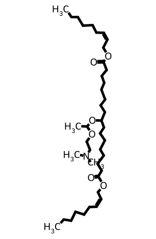 CCCCCC/C=C\COC(=O)CCCCCCCC(CCCCCCCC(=O)OC/C=C\CCCCCC)OC(C)OCCN(C)C